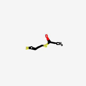 CC(=O)SCC=C=S